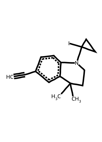 C#Cc1ccc2c(c1)C(C)(C)CCN2C1(I)CC1